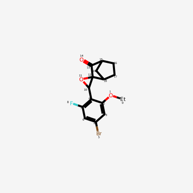 CCOc1cc(Br)cc(F)c1C1OC12C(=O)C1CCC2C1